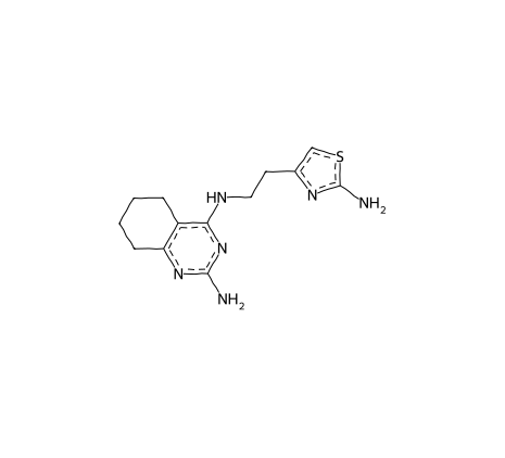 Nc1nc2c(c(NCCc3csc(N)n3)n1)CCCC2